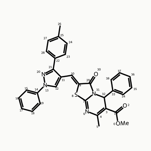 COC(=O)C1=C(C)N=c2s/c(=C\c3cn(-c4ccccc4)nc3-c3ccc(C)cc3)c(=O)n2C1c1ccccc1